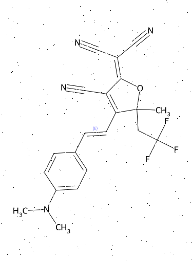 CN(C)c1ccc(/C=C/C2=C(C#N)C(=C(C#N)C#N)OC2(C)CC(F)(F)F)cc1